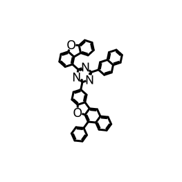 c1ccc(-c2c3ccccc3cc3c2oc2ccc(-c4nc(-c5ccc6ccccc6c5)nc(-c5cccc6oc7ccccc7c56)n4)cc23)cc1